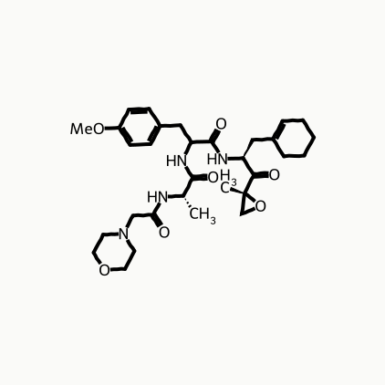 COc1ccc(CC(NC(=O)[C@H](C)NC(=O)CN2CCOCC2)C(=O)N[C@@H](CC2=CCCCC2)C(=O)[C@@]2(C)CO2)cc1